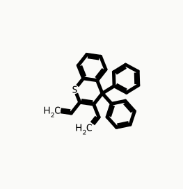 C=CC1=C(C=C)C(c2ccccc2)(c2ccccc2)c2ccccc2S1